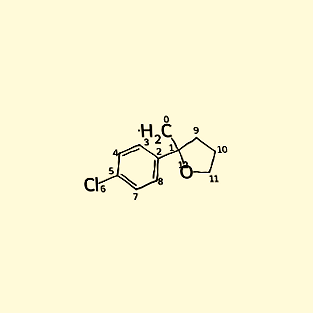 [CH2]C1(c2ccc(Cl)cc2)CCCO1